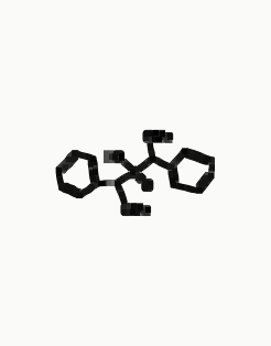 COC(c1ccccc1)P(=O)(O)C(OC)c1ccccc1